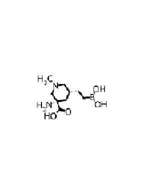 CN1C[C@H](CCB(O)O)C[C@@](N)(C(=O)O)C1